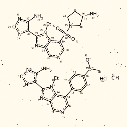 CCn1c(-c2nonc2N)nc2cncc(-c3ccc([S+](C)[O-])cc3)c21.CCn1c(-c2nonc2N)nc2cncc(S(=O)(=O)N3CC[C@H](N)C3)c21.Cl.Cl